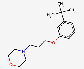 CC(C)(C)c1cccc(OCCCN2CCOCC2)c1